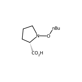 CCCCON1CCC[C@H]1C(=O)O